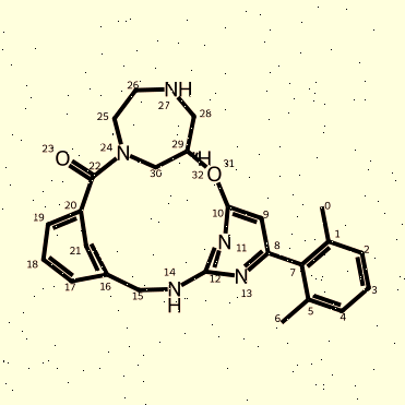 Cc1cccc(C)c1-c1cc2nc(n1)NCc1cccc(c1)C(=O)N1CCNC[C@H](C1)O2